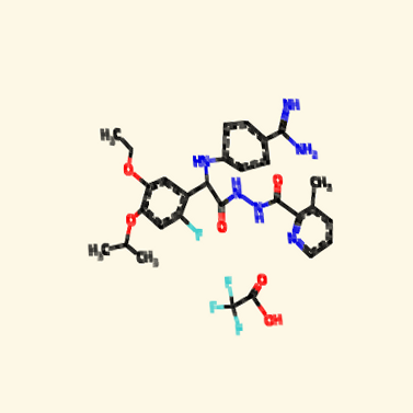 CCOc1cc(C(Nc2ccc(C(=N)N)cc2)C(=O)NNC(=O)c2ncccc2C)c(F)cc1OC(C)C.O=C(O)C(F)(F)F